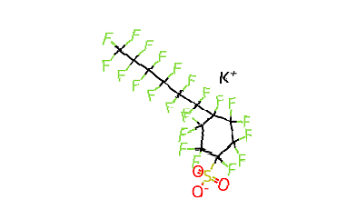 O=S(=O)([O-])C1(F)C(F)(F)C(F)(F)C(F)(C(F)(F)C(F)(F)C(F)(F)C(F)(F)C(F)(F)C(F)(F)F)C(F)(F)C1(F)F.[K+]